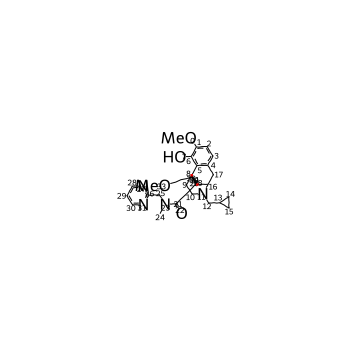 COc1ccc2c(c1O)C13CCN(CC4CC4)C(C2)C1C=C(C(=O)N(C)Cc1ncccn1)C(OC)C3